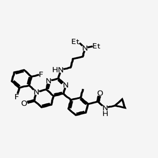 CCN(CC)CCCNc1nc(-c2cccc(C(=O)NC3CC3)c2C)c2ccc(=O)n(-c3c(F)cccc3F)c2n1